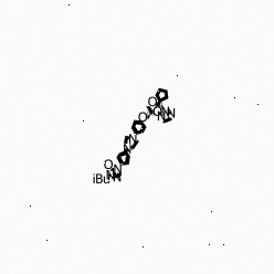 CCC(C)n1ncn(-c2ccc(N3CCN(c4ccc(OC[C@@H]5CO[C@@](Cn6nccn6)(C6CCCC6)O5)cc4)CC3)cc2)c1=O